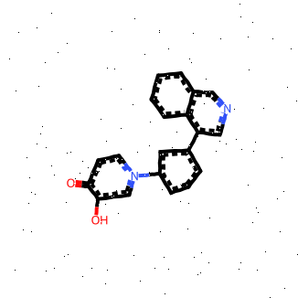 O=c1ccn(-c2cccc(-c3cncc4ccccc34)c2)cc1O